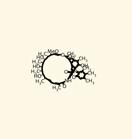 CO[C@H]1/C=C/O[C@@]2(C)Oc3c(C)c(O)c4c(=O)c(c5oc6cc(C)c(C)c(C)c6nc-5c4c3C2=O)NC(=O)/C(C)=C\C=C\[C@H](C)[C@H](O)[C@@H](C)[C@@H](O)[C@@H](C)[C@H](O)[C@@H]1C